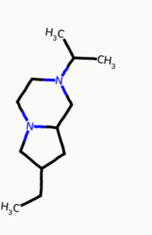 CCC1CC2CN(C(C)C)CCN2C1